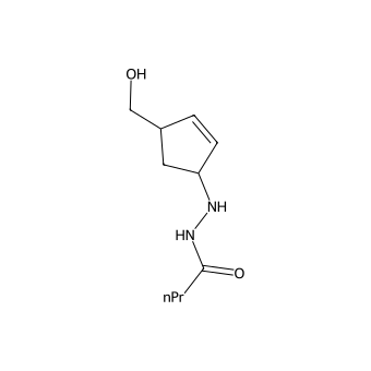 CCCC(=O)NNC1C=CC(CO)C1